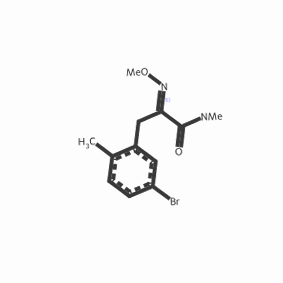 CNC(=O)/C(Cc1cc(Br)ccc1C)=N/OC